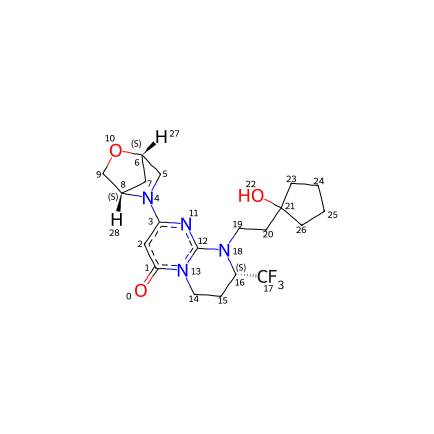 O=c1cc(N2C[C@@H]3C[C@H]2CO3)nc2n1CC[C@@H](C(F)(F)F)N2CCC1(O)CCCC1